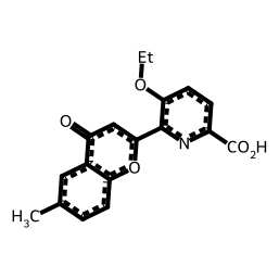 CCOc1ccc(C(=O)O)nc1-c1cc(=O)c2cc(C)ccc2o1